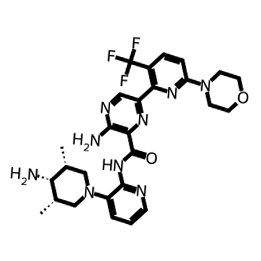 C[C@@H]1CN(c2cccnc2NC(=O)c2nc(-c3nc(N4CCOCC4)ccc3C(F)(F)F)cnc2N)C[C@H](C)[C@@H]1N